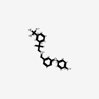 CC(C)(COCc1cccc(Oc2ccc(F)cc2)c1)c1cccc(C(F)(F)F)c1